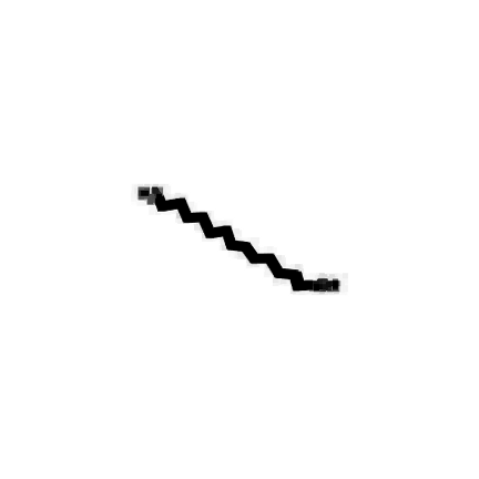 CCCCCCCCC=CCCCCCCCCCCCN